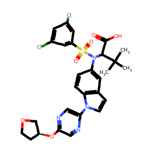 CC(C)(C)C(C(=O)O)N(c1ccc2c(ccn2-c2cnc(O[C@H]3CCOC3)cn2)c1)S(=O)(=O)c1cc(Cl)cc(Cl)c1